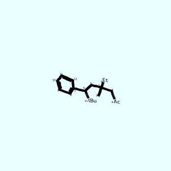 CCC(C)(CC(C)=O)CC(c1ccccc1)C(C)(C)C